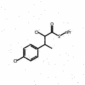 CCCSC(=O)C(Cl)C(C)c1ccc(Cl)cc1